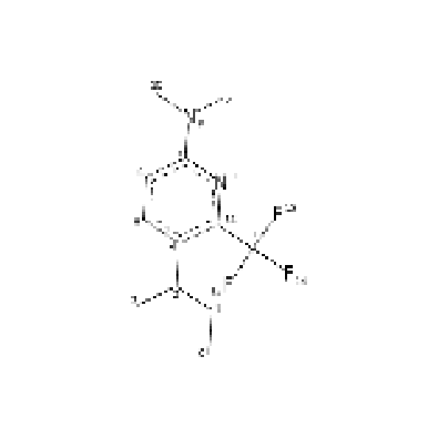 CCC(C)c1ccc(N(C)C)nc1C(F)(F)F